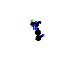 CCc1cc(NCc2ccc(-c3ccccc3C#N)cc2)n2ncc(Cl)c2n1